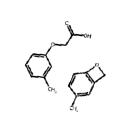 Cc1ccc2c(c1)CO2.Cc1cccc(OCC(=O)O)c1